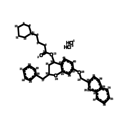 Cl.Cl.O=C(CCCN1CCCCC1)OC1CC(Cc2ccccc2)Oc2cc(OCc3ccc4ccccc4n3)ccc21